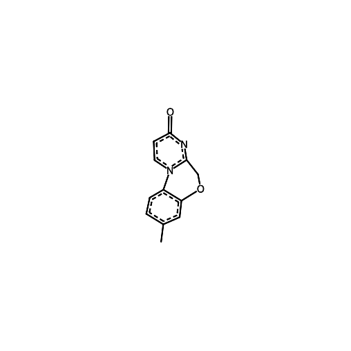 Cc1ccc2c(c1)OCc1nc(=O)ccn1-2